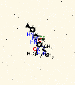 C=CC(=O)Nc1cc(Nc2nccc(Nc3cccc(C4CC4)c3)n2)c(OC(F)(F)F)cc1N(C)CCN(C)C